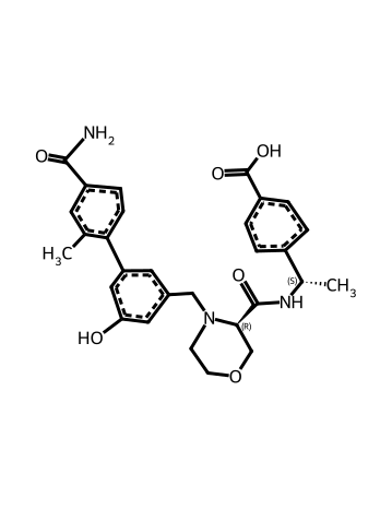 Cc1cc(C(N)=O)ccc1-c1cc(O)cc(CN2CCOC[C@@H]2C(=O)N[C@@H](C)c2ccc(C(=O)O)cc2)c1